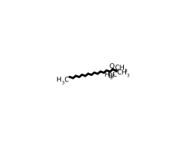 CCCCCCCCCCCCCCC(Br)C(=O)C(C)(C)C